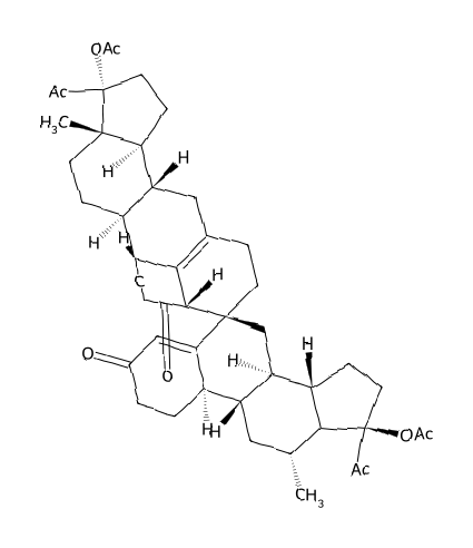 CC(=O)O[C@]1(C(C)=O)CC[C@@H]2C1[C@H](C)C[C@H]1[C@H]2C[C@@]2(CCC3=C4[C@H]2C(=O)CC[C@@H]4[C@H]2CC[C@@]4(C)[C@@H](CC[C@]4(OC(C)=O)C(C)=O)[C@@H]2C3)C2=CC(=O)CC[C@@H]21